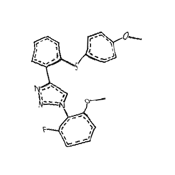 COc1ccc(Sc2ccccc2-c2cn(-c3c(F)cccc3OC)nn2)cc1